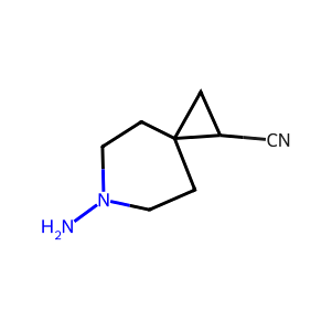 N#CC1CC12CCN(N)CC2